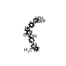 C[C@@H](CC(=O)N1CCC(O)(Cn2cnc3c(cnn3-c3ccc(N4CC[C@](C)(O)C4)cc3)c2=O)CC1)n1cccn1